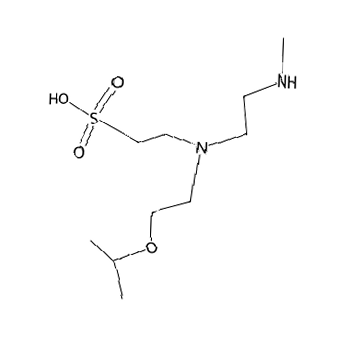 CNCCN(CCOC(C)C)CCS(=O)(=O)O